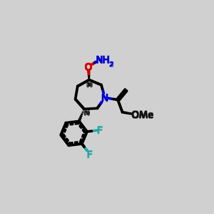 C=C(COC)N1C[C@H](ON)CC[C@@H](c2cccc(F)c2F)C1